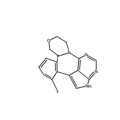 Fc1cccc(F)c1-c1c[nH]c2ncnc(N3CCOCC3)c12